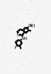 CCOc1cc2ccnc(Nc3ccc(F)c(C)c3)c2cc1C